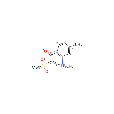 CNS(=O)(=O)c1cn(C)c2cc(C)ccc2c1=O